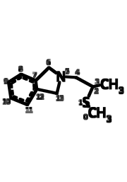 CSC(C)CN1Cc2ccccc2C1